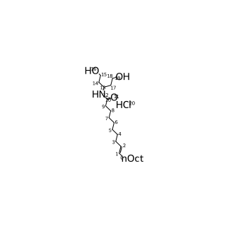 CCCCCCCCC=CCCCCCCCC(=O)NC(CCO)CCO.Cl